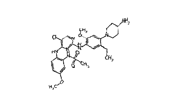 CCc1cc(Nc2ncc(Cl)c(Nc3ccc(OC)cc3NS(C)(=O)=O)n2)c(OC)cc1N1CCC(N)CC1